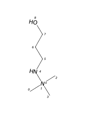 C[N+](C)(C)NCCCO